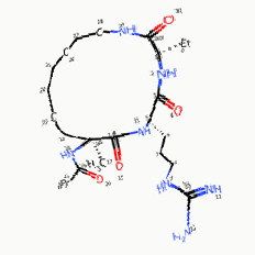 CC[C@@H]1NC(=O)[C@H](CCCNC(=N)N)NC(=O)[C@@](C)(NC(=O)C(C)C)CCCCCCCNC1=O